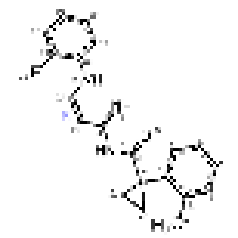 Cc1ccccc1C1(C(=O)NC(=N)/C=C\Nc2ccccc2F)CC1